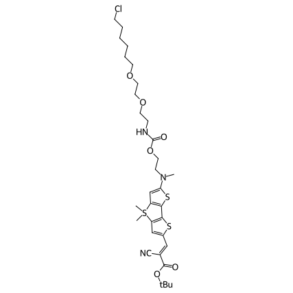 CN(CCOC(=O)NCCOCCOCCCCCCCl)c1cc2c(s1)-c1sc(/C=C(\C#N)C(=O)OC(C)(C)C)cc1S2(C)C